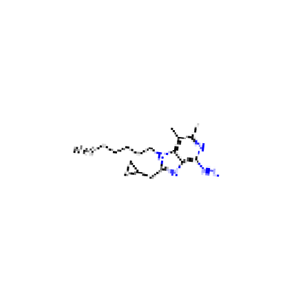 CSCCCCCn1c(CC2CC2)nc2c(N)nc(C)c(C)c21